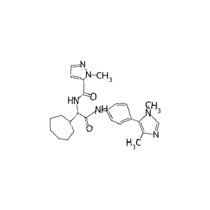 Cc1ncn(C)c1-c1ccc(NC(=O)C(NC(=O)c2ccnn2C)C2CCCCCC2)cc1